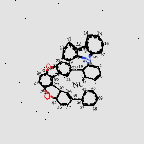 N#CC1C=CC=C(n2c3ccccc3c3ccccc32)C1c1ccc2oc3ccc4c(c3c2c1)C1C=C(c2ccccc2)C=CC1O4